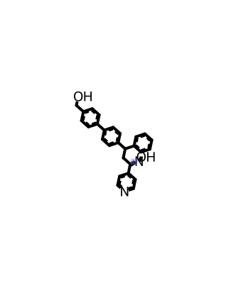 OCc1ccc(-c2ccc(C(C/C(=N\O)c3ccncc3)c3ccccc3)cc2)cc1